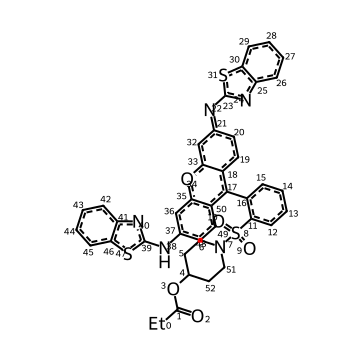 CCC(=O)OC1CCN(S(=O)(=O)c2ccccc2-c2c3cc/c(=N\c4nc5ccccc5s4)cc-3oc3cc(Nc4nc5ccccc5s4)ccc23)CC1